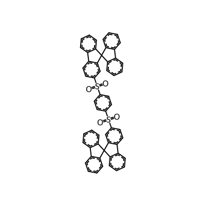 O=S(=O)(c1ccc(S(=O)(=O)c2ccc3c(c2)C2(c4ccccc4-c4ccccc42)c2ccccc2-3)cc1)c1ccc2c(c1)C1(c3ccccc3-c3ccccc31)c1ccccc1-2